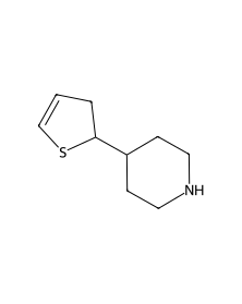 C1=CSC(C2CCNCC2)C1